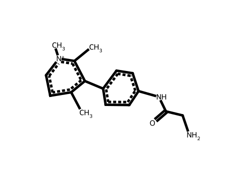 Cc1cc[n+](C)c(C)c1-c1ccc(NC(=O)CN)cc1